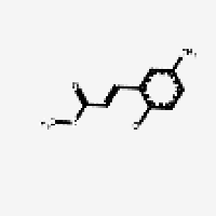 COC(=O)/C=C/c1cc(C)ccc1Cl